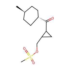 CS(=O)(=O)OCC1CC1C(=O)[C@H]1CC[C@H](C)CC1